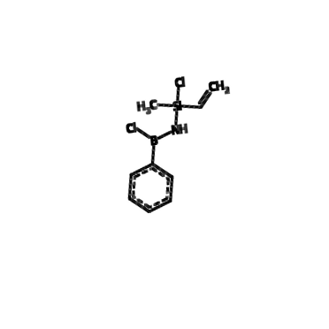 C=C[Si](C)(Cl)NB(Cl)c1ccccc1